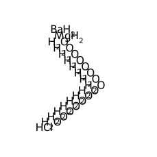 Cl.O.O.O.O.O.O.O.O.O.O.O.O.O.O.O.[BaH2].[MgH2]